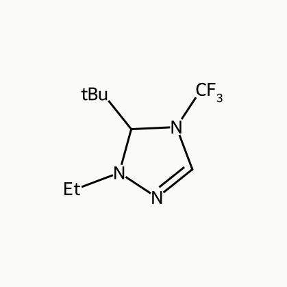 CCN1N=CN(C(F)(F)F)C1C(C)(C)C